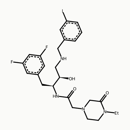 CCN1CCN(CC(=O)N[C@@H](Cc2cc(F)cc(F)c2)[C@H](O)CNCc2cccc(I)c2)CC1=O